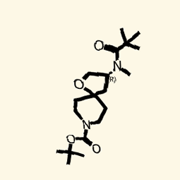 CN(C(=O)C(C)(C)C)[C@H]1COC2(CCN(C(=O)OC(C)(C)C)CC2)C1